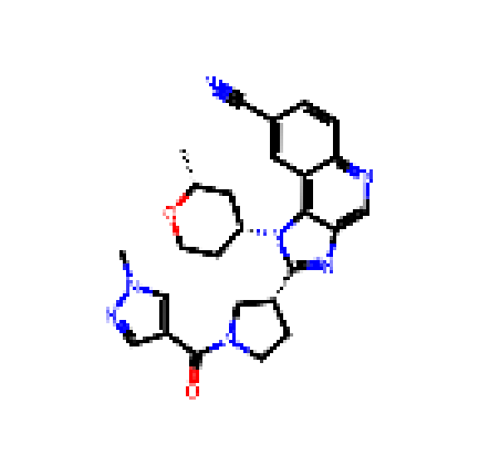 C[C@@H]1C[C@H](n2c([C@@H]3CCN(C(=O)c4cnn(C)c4)C3)nc3cnc4ccc(C#N)cc4c32)CCO1